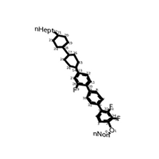 CCCCCCCCCOc1ccc(-c2ccc(-c3ccc(C4CCC(C5CCC(CCCCCCC)CC5)CC4)cc3F)cc2)c(F)c1F